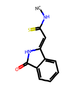 N#CNC(=S)C=C1NC(=O)c2ccccc21